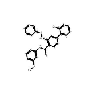 COc1cccc(NC(=O)c2ccc(-c3ncccc3Cl)cc2NCc2ccccc2)c1